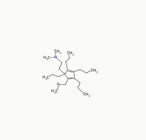 CCCC1=C(CCC)C(CCC)(CCN(C)C)C([CH2][Ti][CH3])=C1CCC